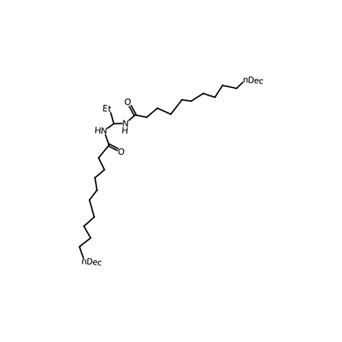 CCCCCCCCCCCCCCCCCCCC(=O)NC(CC)NC(=O)CCCCCCCCCCCCCCCCCCC